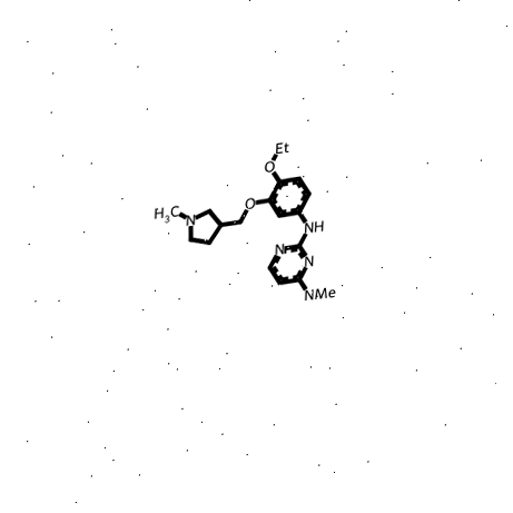 CCOc1ccc(Nc2nccc(NC)n2)cc1OCC1CCN(C)C1